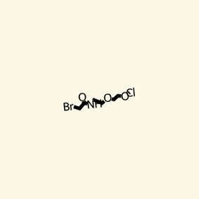 O=C(CBr)NCCOCCOCl